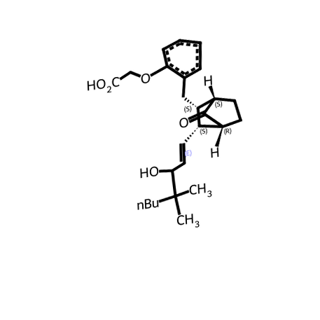 CCCCC(C)(C)C(O)/C=C/[C@@H]1[C@H](Cc2ccccc2OCC(=O)O)[C@@H]2CC[C@H]1C2=O